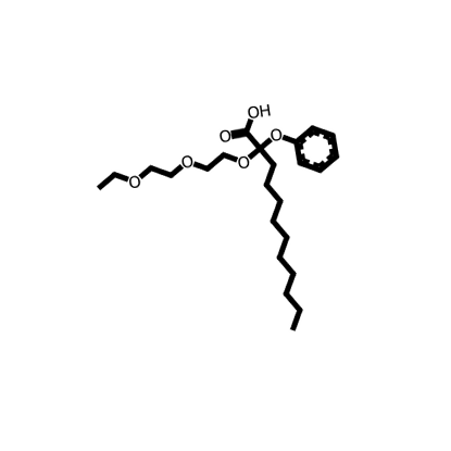 CCCCCCCCCCC(OCCOCCOCC)(Oc1ccccc1)C(=O)O